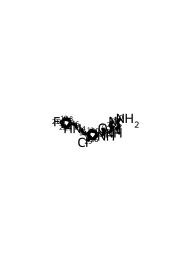 Nc1cnc(NC(=O)Nc2ccc(CCNCc3ccc(F)cc3)c(Cl)c2)cn1